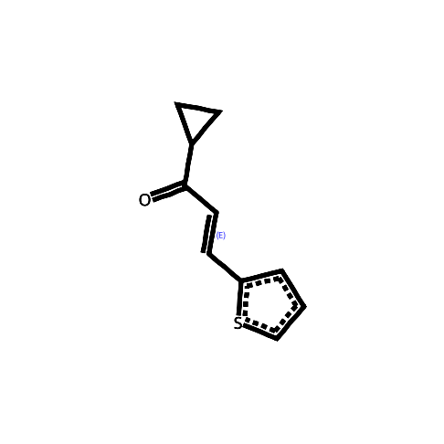 O=C(/C=C/c1cccs1)C1CC1